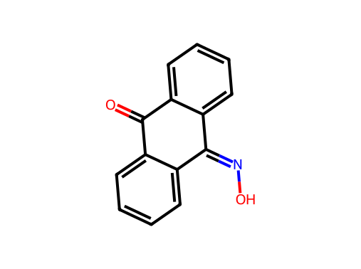 O=C1c2ccccc2C(=NO)c2ccccc21